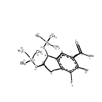 CNC(=O)c1cc2c(c(F)c1Br)CC(O[Si](C)(C)C(C)(C)C)C2O[Si](C)(C)C(C)(C)C